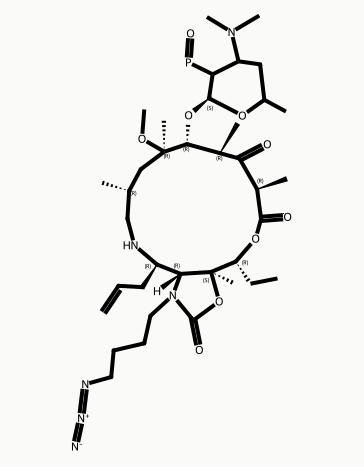 C=CC[C@H]1NC[C@H](C)C[C@@](C)(OC)[C@H](O[C@@H]2OC(C)CC(N(C)C)C2P=O)[C@@H](C)C(=O)[C@@H](C)C(=O)O[C@H](CC)[C@@]2(C)OC(=O)N(CCCCN=[N+]=[N-])[C@H]12